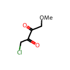 COCC(=O)C(=O)CCl